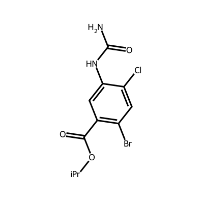 CC(C)OC(=O)c1cc(NC(N)=O)c(Cl)cc1Br